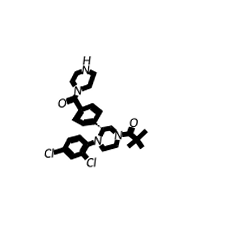 CC(C)(C)C(=O)N1CCN(c2ccc(Cl)cc2Cl)[C@H](c2ccc(C(=O)N3CCNCC3)cc2)C1